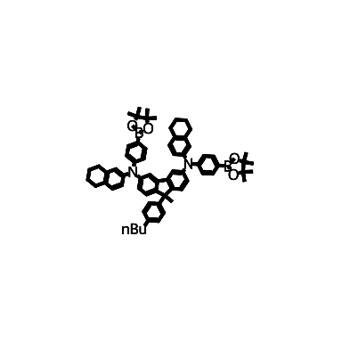 CCCCc1ccc(C2(C)c3ccc(N(c4ccc(B5OC(C)(C)C(C)(C)O5)cc4)c4ccc5c(c4)CCCC5)cc3-c3cc(N(c4ccc(B5OC(C)(C)C(C)(C)O5)cc4)c4ccc5c(c4)CCCC5)ccc32)cc1